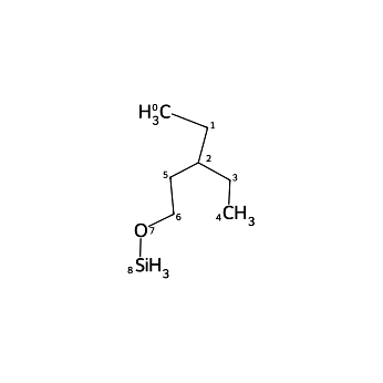 CCC(CC)CCO[SiH3]